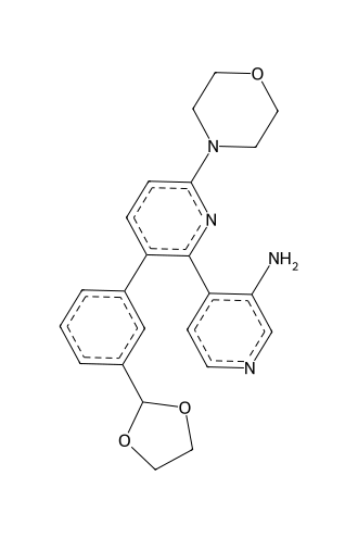 Nc1cnccc1-c1nc(N2CCOCC2)ccc1-c1cccc(C2OCCO2)c1